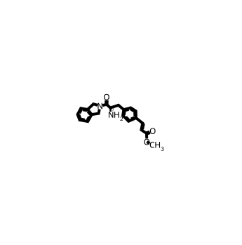 COC(=O)C=Cc1ccc(C[C@@H](N)C(=O)N2Cc3ccccc3C2)cc1